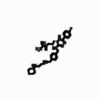 N=C(N)NCCC[C@H](NC(=O)c1ccc(F)cc1)C(=O)NCc1ccc(CNCCCNC2CCCCC2)cc1